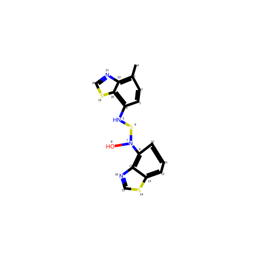 Cc1ccc(NSN(O)c2cccc3scnc23)c2scnc12